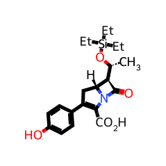 CC[Si](CC)(CC)O[C@H](C)[C@H]1C(=O)N2C(C(=O)O)=C(c3ccc(O)cc3)C[C@H]12